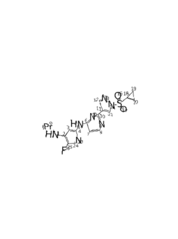 CC(C)Nc1cc(Nc2ccnc(-c3cnn(S(=O)(=O)C4CC4)c3)n2)ncc1F